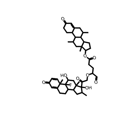 CC1CC2(C)C(OC(=O)CCC(C=O)OCC(=O)C3(O)C(C)CC4C5CCC6=CC(=O)C=CC6(C)C5(F)C(O)CC43C)CCC2C2C(C)CC3=CC(=O)CCC3C12